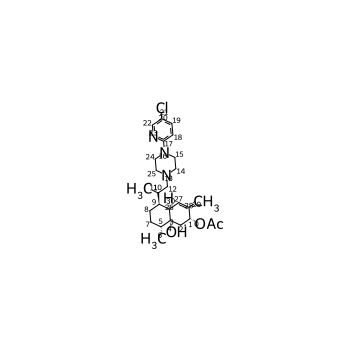 CC(=O)O[C@@H]1[CH][C@@]2(O)[C@H](C)CC[C@@H](C(C)CN3CCN(c4ccc(Cl)cn4)CC3)[C@H]2C=C1C